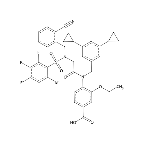 CCOc1cc(C(=O)O)ccc1N(Cc1cc(C2CC2)cc(C2CC2)c1)C(=O)CN(Cc1ccccc1C#N)S(=O)(=O)c1c(Br)cc(F)c(F)c1F